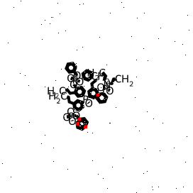 C=CCc1cc(P(=O)(c2ccc(OP(=O)(Oc3ccccc3)Oc3ccccc3)c(CC=C)c2)c2ccc(OP(=O)(c3ccccc3)N(CC=C)CC=C)c(CC=C)c2)ccc1OP(=O)(Oc1ccccc1)Oc1ccccc1